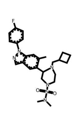 Cc1cc2c(cnn2-c2ccc(F)cc2)cc1C1CN(S(=O)(=O)N(C)C)CCN1CC1CCC1